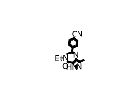 CCN1CC(c2ccc(C#N)cc2)=Nc2c(C)n[nH]c2C1=O